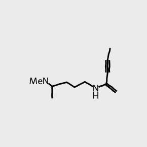 C=C(C#CC)NCCCC(C)NC